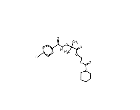 CC(C)(ONC(=O)c1ccc(Cl)cc1)C(=O)OCOC(=O)N1CCCCC1